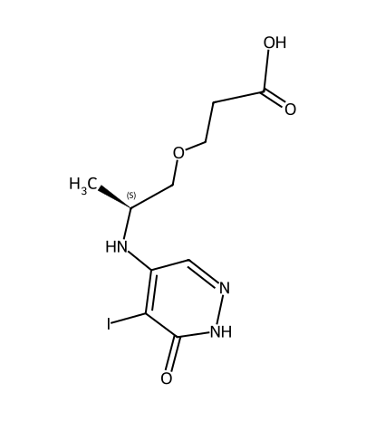 C[C@@H](COCCC(=O)O)Nc1cn[nH]c(=O)c1I